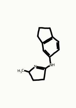 CC1CCC(Nc2ccc3c(c2)CCC3)=N1